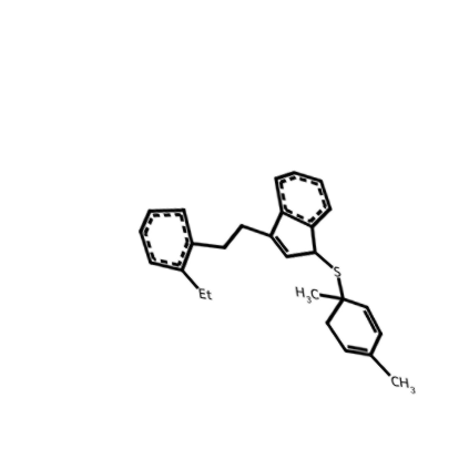 CCc1ccccc1CCC1=CC(SC2(C)C=CC(C)=CC2)c2ccccc21